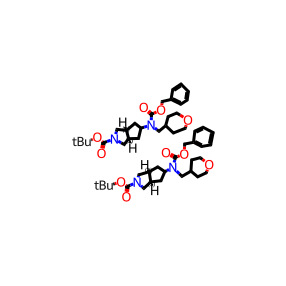 CC(C)(C)OC(=O)N1C[C@H]2CC(N(CC3CCOCC3)C(=O)OCc3ccccc3)C[C@H]2C1.CC(C)(C)OC(=O)N1C[C@H]2CC(N(CC3CCOCC3)C(=O)OCc3ccccc3)C[C@H]2C1